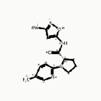 CC(C)(C)c1cc(NC(=O)[C@@H]2CCCN2c2ccc(C(F)(F)F)cn2)on1